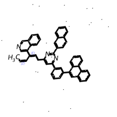 C/C=C\C(=C/Cc1cc(-c2cccc(-c3cc4ccccc4c4ccccc34)c2)nc(-c2ccc3ccccc3c2)n1)c1cncc2ccccc12